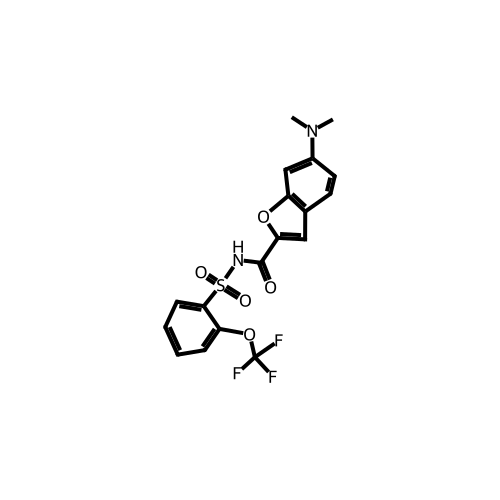 CN(C)c1ccc2cc(C(=O)NS(=O)(=O)c3ccccc3OC(F)(F)F)oc2c1